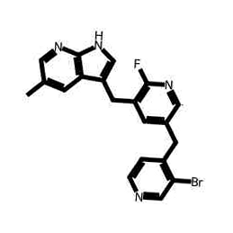 Cc1cnc2[nH]cc(Cc3cc(Cc4ccncc4Br)[c]nc3F)c2c1